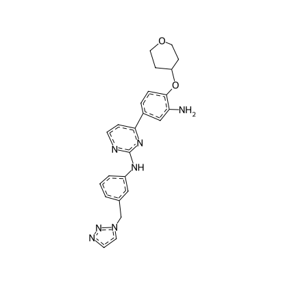 Nc1cc(-c2ccnc(Nc3cccc(Cn4ccnn4)c3)n2)ccc1OC1CCOCC1